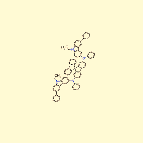 CCn1c2ccc(-c3ccccc3)cc2c2cc(N(c3ccccc3)c3ccc4c(c3)C3(c5ccccc5-c5ccccc53)c3cc(N(c5ccccc5)c5ccc6c(c5)c5cc(-c7ccccc7)ccc5n6CC)ccc3-4)ccc21